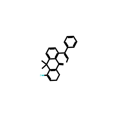 C=C1C2=C(C(F)=CCC2)C(C)(C)c2cccc(/C(=C\C)c3ccccc3)c21